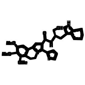 COc1cc2c(c(OC)c1OC)CCn1c-2cc(C(=O)N[C@@H](CO)Cc2c[nH]c3ccccc23)c1-c1cccs1